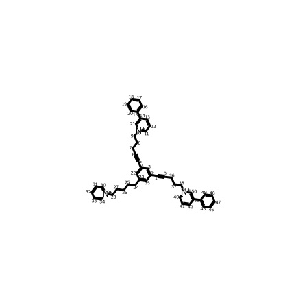 C(#Cc1cc(C#CCCC[n+]2cccc(-c3ccccc3)c2)cc(CCCCC[n+]2ccccc2)c1)CCC[n+]1cccc(-c2ccccc2)c1